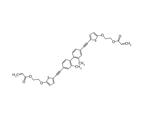 C=CC(=O)OCCOc1ccc(C#Cc2ccc(-c3ccc(C#Cc4ccc(OCCOC(=O)C=C)s4)cc3C)c(C)c2)s1